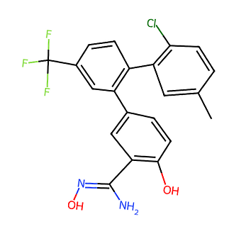 Cc1ccc(Cl)c(-c2ccc(C(F)(F)F)cc2-c2ccc(O)c(C(N)=NO)c2)c1